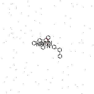 c1ccc(-c2cccc(-c3ccc(-c4nc(-c5ccccc5)nc(-c5ccccc5-n5c6ccccc6c6ccc7c8ccccc8[nH]c7c65)n4)cc3)c2)cc1